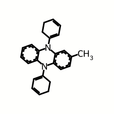 Cc1ccc2c(c1)N(C1=CC=CCC1)c1ccccc1N2C1=CC=CCC1